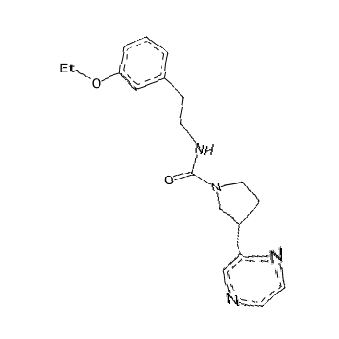 CCOc1cccc(CCNC(=O)N2CCC(c3cnccn3)C2)c1